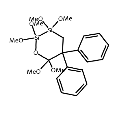 COC1(OC)O[Si](OC)(OC)[Si](OC)(OC)CC1(c1ccccc1)c1ccccc1